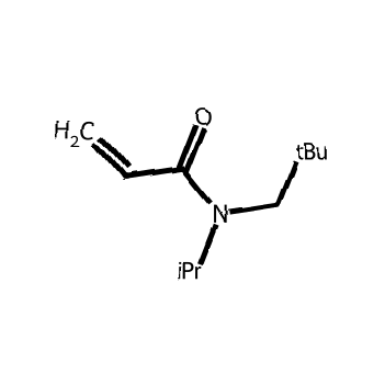 C=CC(=O)N(CC(C)(C)C)C(C)C